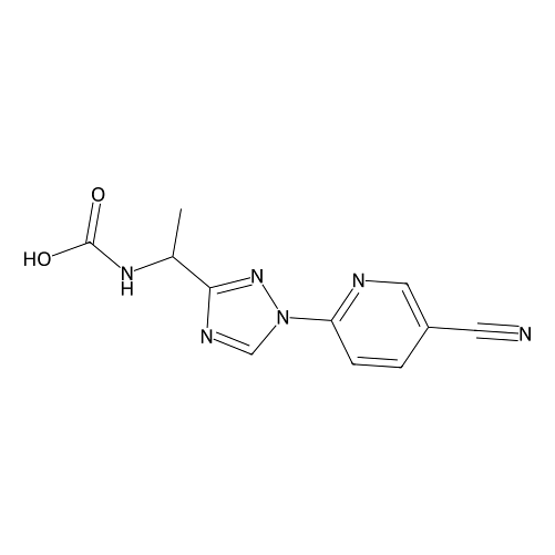 CC(NC(=O)O)c1ncn(-c2ccc(C#N)cn2)n1